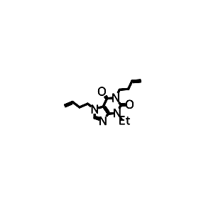 C=CCCn1c(=O)c2c(ncn2CCC=C)n(CC)c1=O